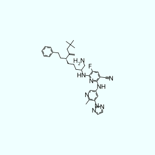 C=C(CC(C)(C)C)[C@@H](CCCC(CN)Nc1nc(Nc2cnc(C)c(-n3nccn3)c2)c(C#N)cc1F)CCc1ccccc1